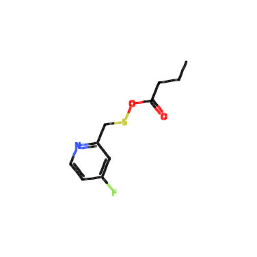 CCCC(=O)OSCc1cc(F)ccn1